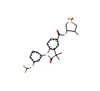 CC1CS(=O)(=O)CC1NC(=O)c1ccc2c(c1)C(C)(C)C(=O)N2c1cccc(OC(F)F)c1